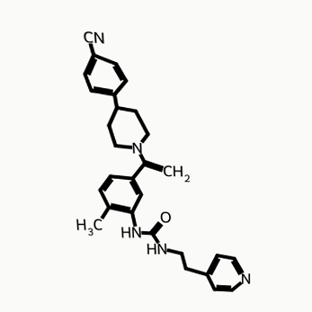 C=C(c1ccc(C)c(NC(=O)NCCc2ccncc2)c1)N1CCC(c2ccc(C#N)cc2)CC1